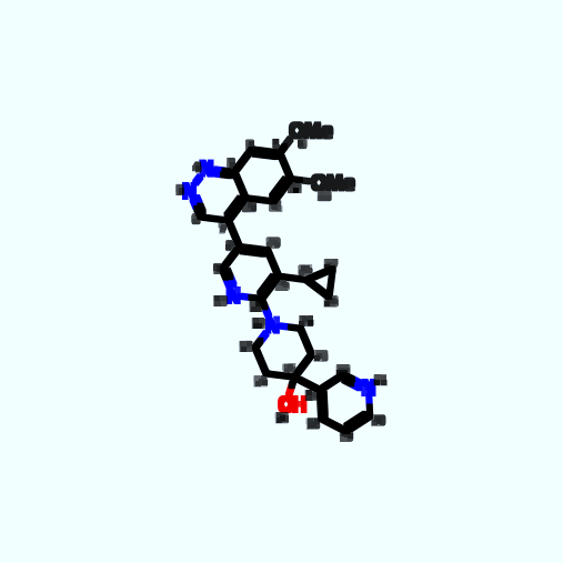 COc1cc2nncc(-c3cnc(N4CCC(O)(c5cccnc5)CC4)c(C4CC4)c3)c2cc1OC